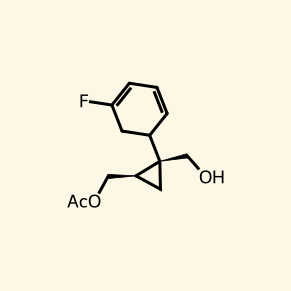 CC(=O)OC[C@@H]1C[C@@]1(CO)C1C=CC=C(F)C1